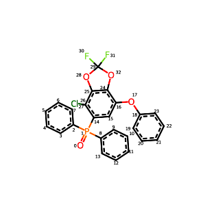 O=P(c1ccccc1)(c1ccccc1)c1cc(Oc2ccccc2)c2c(c1Cl)OC(F)(F)O2